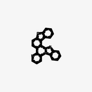 c1ccc2c(c1)nc1c3c(ccc4oc5ccccc5c43)c3ncccc3n21